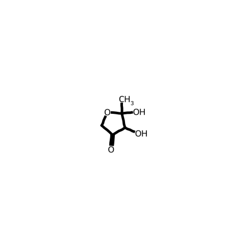 CC1(O)OCC(=O)C1O